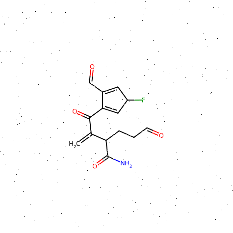 C=C(C(=O)C1=CC(F)C=C1C=O)C(CCC=O)C(N)=O